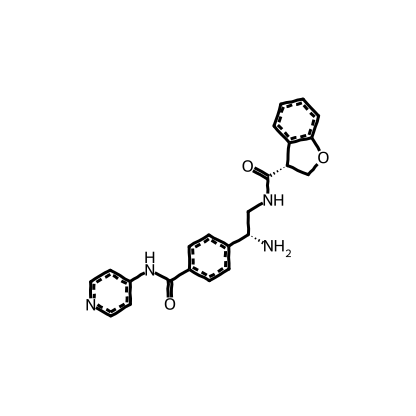 N[C@@H](CNC(=O)[C@H]1COc2ccccc21)c1ccc(C(=O)Nc2ccncc2)cc1